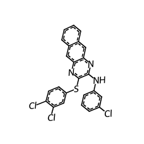 Clc1cccc(Nc2nc3cc4ccccc4cc3nc2Sc2ccc(Cl)c(Cl)c2)c1